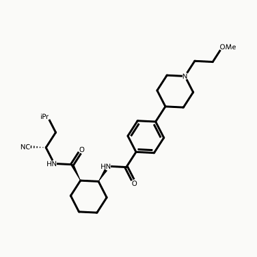 COCCN1CCC(c2ccc(C(=O)N[C@H]3CCCC[C@H]3C(=O)N[C@H](C#N)CC(C)C)cc2)CC1